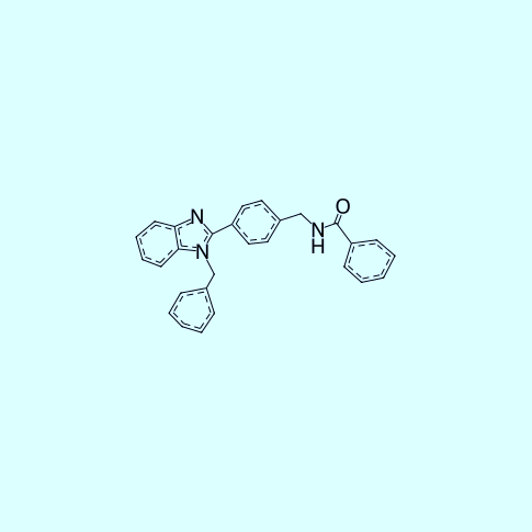 O=C(NCc1ccc(-c2nc3ccccc3n2Cc2ccccc2)cc1)c1ccccc1